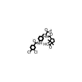 COC(=O)[C@H](Cc1ccc(NC(=O)c2ccc(Cl)c(Cl)c2)cc1)NC(=O)C1CCC(C)(C(=O)O)C1(C)C